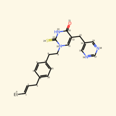 CCC=CCc1ccc(CCn2cc(Cc3cncnc3)c(=O)[nH]c2=S)cc1